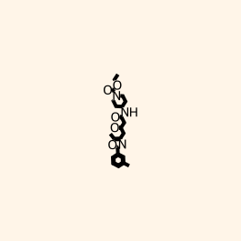 CCOC(=O)N1CCC(NC(=O)CC(=O)Cc2nc(-c3cccc(C)c3)oc2C)CC1